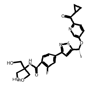 C[C@@H](Oc1ccc(C(=O)C2CC2)nc1)c1cc(-c2ccc(C(=O)NC(CO)(CO)CO)c(F)c2)ns1